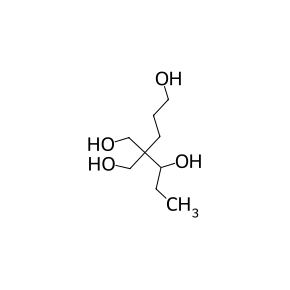 CCC(O)C(CO)(CO)CCCO